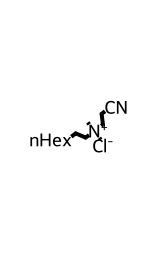 CCCCCCCC[N+](C)(C)CCC#N.[Cl-]